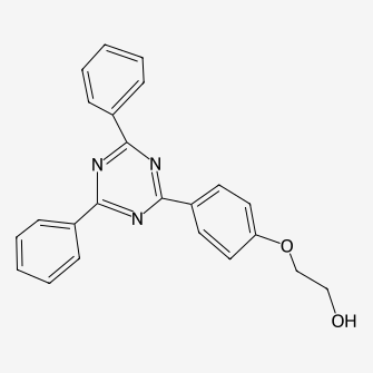 OCCOc1ccc(-c2nc(-c3ccccc3)nc(-c3ccccc3)n2)cc1